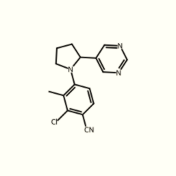 Cc1c(N2CCCC2c2cncnc2)ccc(C#N)c1Cl